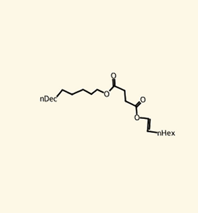 CCCCCCC=COC(=O)CCC(=O)OCCCCCCCCCCCCCCC